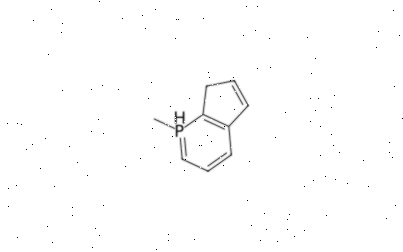 C[PH]1=CC=CC2=C1CC=C2